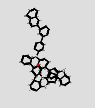 c1cc(-c2ccc(N(c3ccc(-c4ccc5c(c4)oc4ccccc45)cc3)c3ccccc3-c3ccc4c(c3)c3cccc5c3n4-c3ccccc3O5)cc2)cc(-c2ccc3ccccc3c2)c1